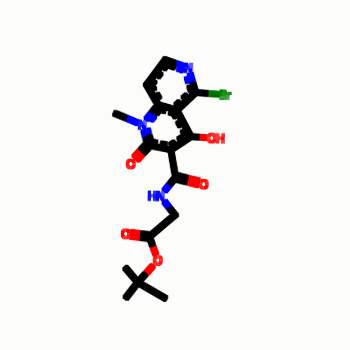 Cn1c(=O)c(C(=O)NCC(=O)OC(C)(C)C)c(O)c2c(Br)nccc21